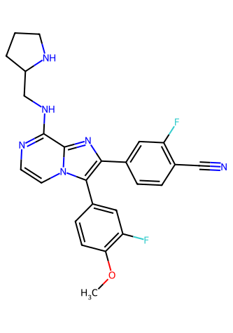 COc1ccc(-c2c(-c3ccc(C#N)c(F)c3)nc3c(NCC4CCCN4)nccn23)cc1F